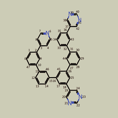 c1cc(-c2ccncc2)cc(-c2cccc(-c3cc(-c4cncnc4)cc(-c4cccc(-c5cccc(-c6cncnc6)c5)c4)c3)c2)c1